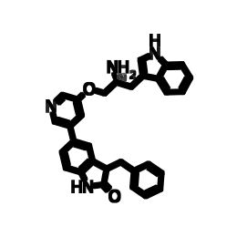 N[C@H](COc1cncc(-c2ccc3c(c2)C(Cc2ccccc2)C(=O)N3)c1)Cc1c[nH]c2ccccc12